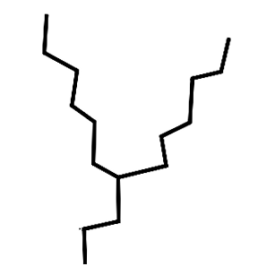 C[CH]CC(CCCCCC)CCCCCC